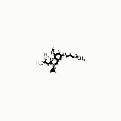 COCCCOc1cc(CN(C(=O)CC(C)C)C2CC2)cc(OC)c1